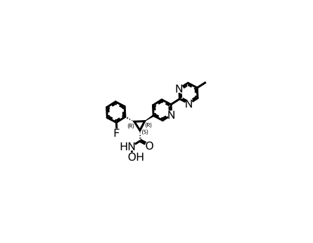 Cc1cnc(-c2ccc([C@H]3[C@H](C(=O)NO)[C@@H]3c3ccccc3F)cn2)nc1